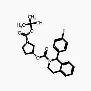 CC(C)(C)OC(=O)N1CC[C@H](OC(=O)N2CCc3ccccc3C2c2ccc(F)cc2)C1